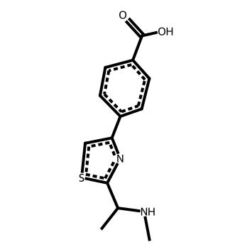 CNC(C)c1nc(-c2ccc(C(=O)O)cc2)cs1